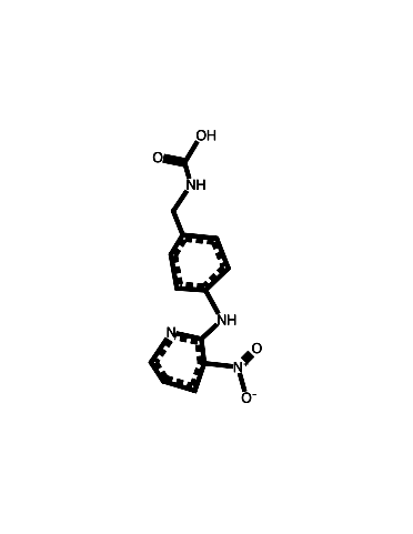 O=C(O)NCc1ccc(Nc2ncccc2[N+](=O)[O-])cc1